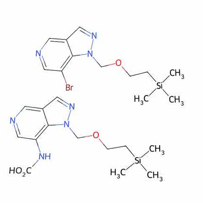 C[Si](C)(C)CCOCn1ncc2cncc(Br)c21.C[Si](C)(C)CCOCn1ncc2cncc(NC(=O)O)c21